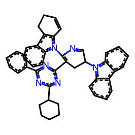 C1=Cc2c(c3ccccc3n2C2=C(c3nc(-c4ccccc4)nc(C4CCCCC4)n3)CC(n3c4ccccc4c4ccccc43)C=N2)CC1